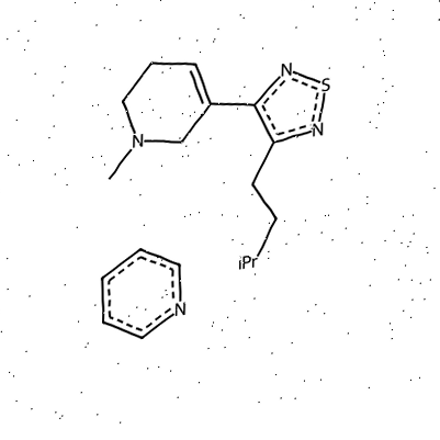 CC(C)CCc1nsnc1C1=CCCN(C)C1.c1ccncc1